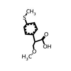 COCC(C(=O)O)c1ccc(SC)cc1